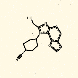 N#CC1CCC(n2c(CO)nc3cnc4ccoc4c32)CC1